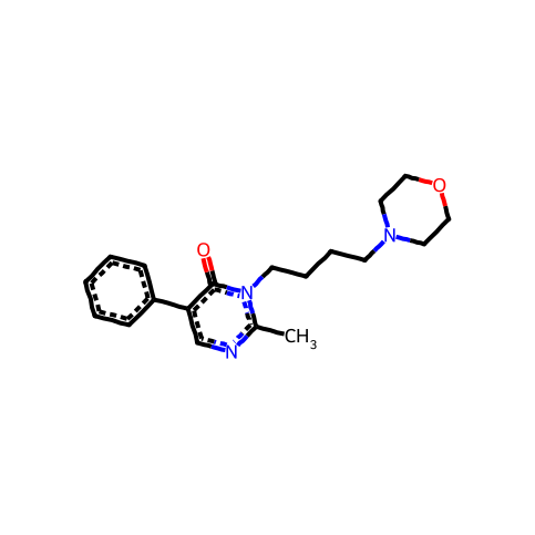 Cc1ncc(-c2ccccc2)c(=O)n1CCCCN1CCOCC1